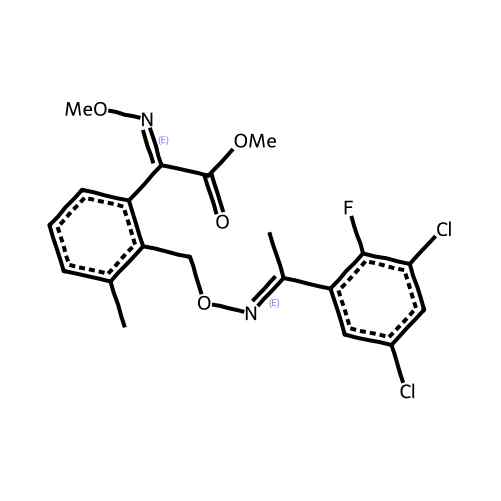 CO/N=C(/C(=O)OC)c1cccc(C)c1CO/N=C(\C)c1cc(Cl)cc(Cl)c1F